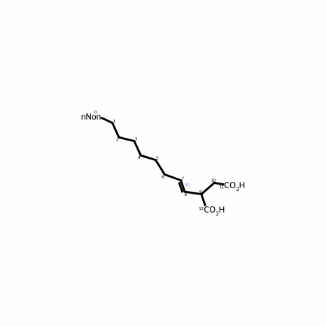 CCCCCCCCCCCCCCC/C=C/C(CC(=O)O)C(=O)O